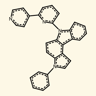 c1ccc(-n2ccc3c4c5ccccc5n(-c5cccc(-c6ccncc6)n5)c4ccc32)cc1